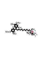 COc1cc(C)c(C(CCCCCCCCCC[Si](C)(C)O[Si](C)(C)C)c2cc(C(C)(C)C)c(OC(C)=O)cc2C)cc1C(C)(C)C